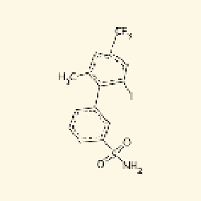 Cc1cc(C(F)(F)F)cc(I)c1-c1cccc(S(N)(=O)=O)c1